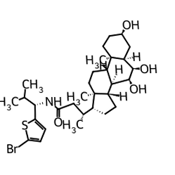 CC(C)[C@H](NC(=O)C[C@@H](C)[C@H]1CC[C@H]2[C@@H]3[C@H](O)[C@H](O)[C@@H]4C[C@H](O)CC[C@]4(C)[C@H]3CC[C@]12C)c1ccc(Br)s1